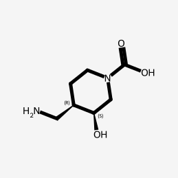 NC[C@H]1CCN(C(=O)O)C[C@H]1O